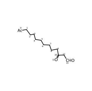 CC(=O)CCCCCCCCCC(=O)CC=O